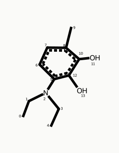 CCN(CC)c1ccc(C)c(O)c1O